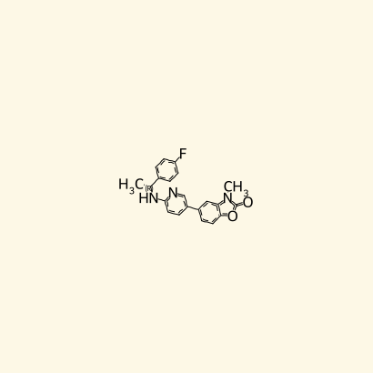 C[C@@H](Nc1ccc(-c2ccc3oc(=O)n(C)c3c2)cn1)c1ccc(F)cc1